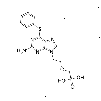 Nc1nc(Sc2ccccc2)c2ncn(CCOCP(=O)(O)O)c2n1